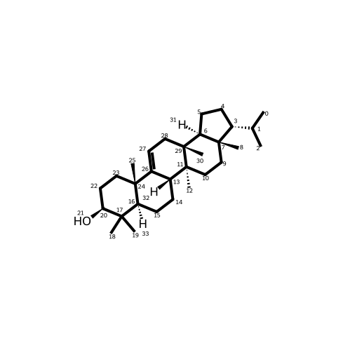 CC(C)[C@H]1CC[C@H]2[C@@]1(C)CC[C@@]1(C)[C@@H]3CC[C@H]4C(C)(C)[C@@H](O)CC[C@]4(C)C3=CC[C@]21C